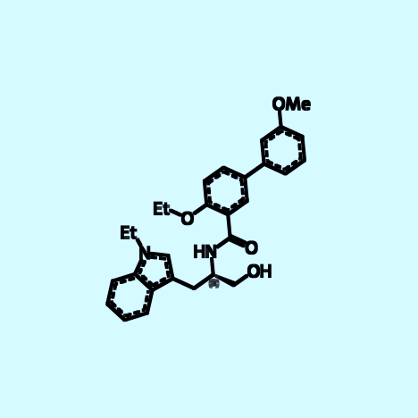 CCOc1ccc(-c2cccc(OC)c2)cc1C(=O)N[C@@H](CO)Cc1cn(CC)c2ccccc12